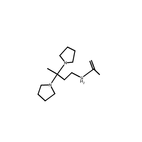 C=C(C)[SiH2]CCC(C)(N1CCCC1)N1CCCC1